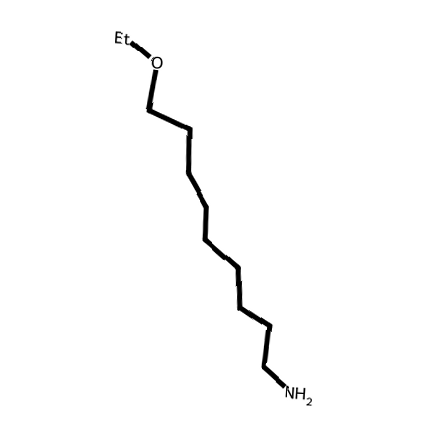 CCOCCCCCCCCCN